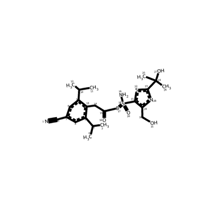 CC(C)c1cc(C#N)cc(C(C)C)c1CC(=O)B=S(N)(=O)c1sc(C(C)(C)O)nc1CO